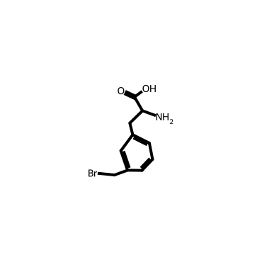 NC(Cc1cccc(CBr)c1)C(=O)O